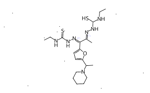 CCNC(=S)N/N=C(/C(C)=N/NC(S)NCC)c1ccc(C(C)N2CCCCC2)o1